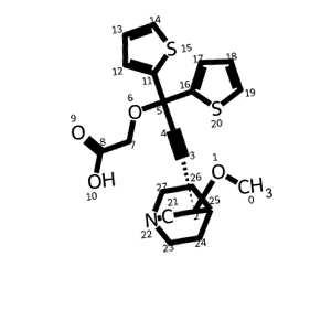 CO[C@]1(C#CC(OCC(=O)O)(c2cccs2)c2cccs2)CN2CCC1CC2